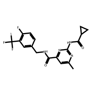 Cc1cc(C(=O)NCc2ccc(F)c(C(F)(F)I)c2)nc(NC(=O)C2CC2)n1